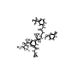 CC(C)S(=O)(=O)N(C)c1cc(C(=O)N[C@@H](COc2cccc(Br)c2)[C@H](O)CNCc2cccc(C(F)(F)F)c2)cc(NCC2CC2)n1